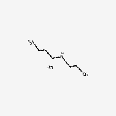 Cl.NCCCNCCO